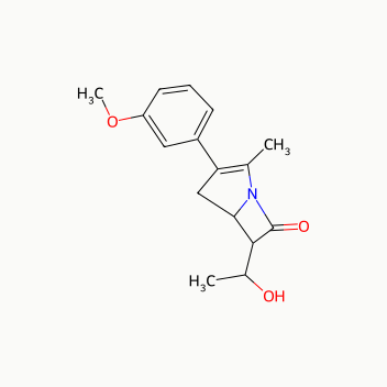 COc1cccc(C2=C(C)N3C(=O)C(C(C)O)C3C2)c1